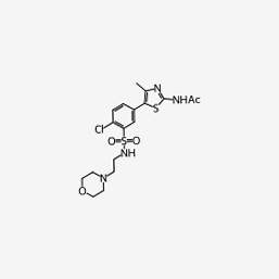 CC(=O)Nc1nc(C)c(-c2ccc(Cl)c(S(=O)(=O)NCCN3CCOCC3)c2)s1